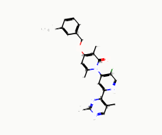 COc1cccc(COc2cc(C)n(-c3cc(-c4nc(C(C)(C)C)ncc4C)ncc3Cl)c(=O)c2C)c1